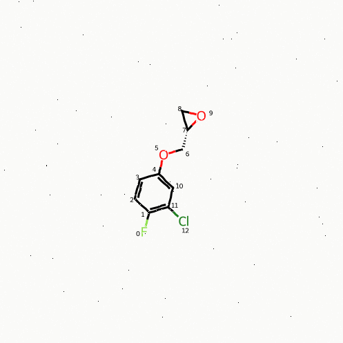 Fc1ccc(OC[C@@H]2CO2)cc1Cl